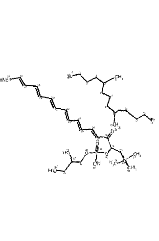 CCC(C)CCCC(C)CCCC(C)CCCC(C)C.CCCCCCCCCC=CC=CC=CC=CC=CC=CC(=O)C(C[N+](C)(C)C)OP(=O)(O)OCC(O)CO